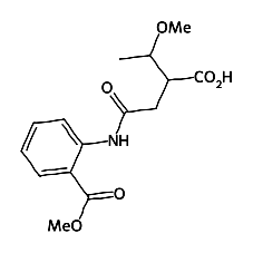 COC(=O)c1ccccc1NC(=O)CC(C(=O)O)C(C)OC